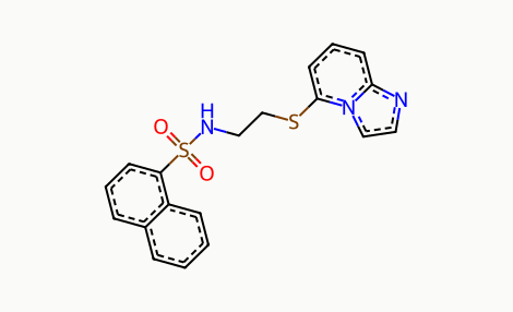 O=S(=O)(NCCSc1cccc2nccn12)c1cccc2ccccc12